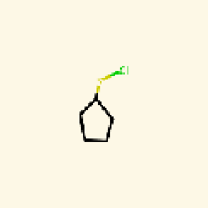 ClSC1CCCC1